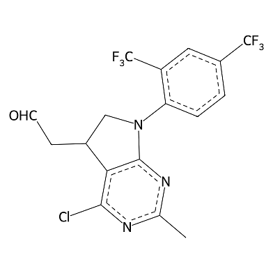 Cc1nc(Cl)c2c(n1)N(c1ccc(C(F)(F)F)cc1C(F)(F)F)CC2CC=O